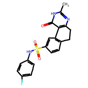 Cc1nc2c(c(=O)[nH]1)-c1cc(S(=O)(=O)Nc3ccc(F)cc3)ccc1CC2